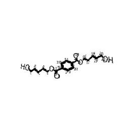 O=C(OCCCCCO)c1ccc(C(=O)OCCCCCO)cc1